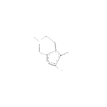 CCOC(=O)c1c(N)sc2c1CCN(C(C)=O)C2